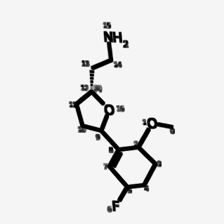 COC1CCC(F)C=C1C1CC[C@H](CCN)O1